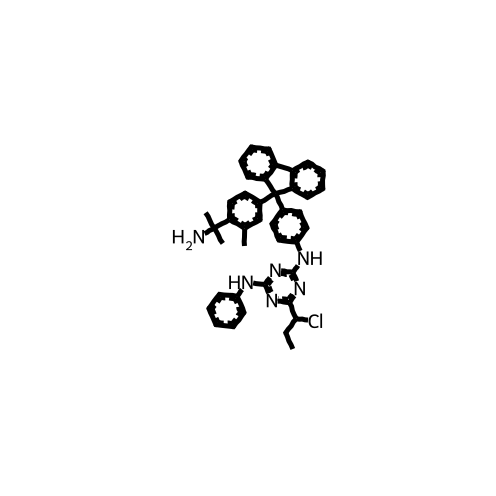 CCC(Cl)c1nc(Nc2ccccc2)nc(Nc2ccc(C3(c4ccc(C(C)(C)N)c(C)c4)c4ccccc4-c4ccccc43)cc2)n1